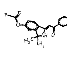 CC1(C)N/C(=C\C(=O)c2ccccc2)c2ccc(OC(F)F)cc21